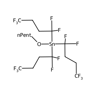 CCCCC[O][Sn]([C](F)(F)CCC(F)(F)F)([C](F)(F)CCC(F)(F)F)[C](F)(F)CCC(F)(F)F